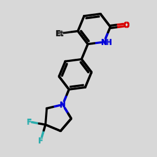 CCc1ccc(=O)[nH]c1-c1ccc(N2CCC(F)(F)C2)cc1